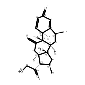 C[C@@H]1C[C@H]2[C@@H]3C[C@H](F)C4=CC(=O)C=C[C@]4(C)[C@H]3C(=O)C[C@]2(C)[C@H]1C(=O)CO